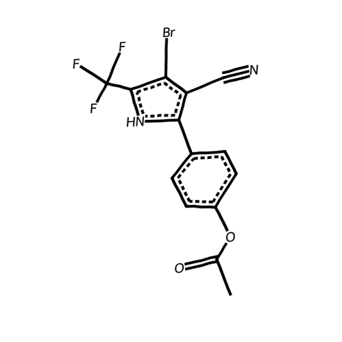 CC(=O)Oc1ccc(-c2[nH]c(C(F)(F)F)c(Br)c2C#N)cc1